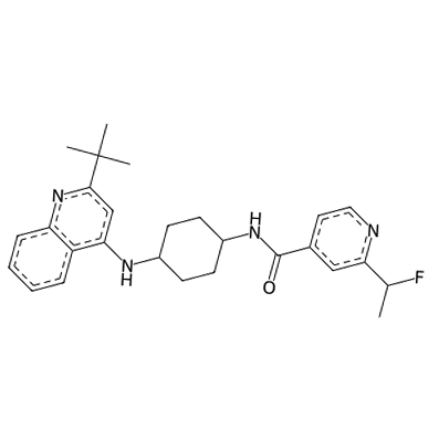 CC(F)c1cc(C(=O)NC2CCC(Nc3cc(C(C)(C)C)nc4ccccc34)CC2)ccn1